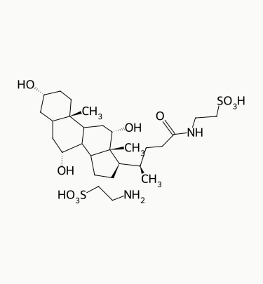 C[C@H](CCC(=O)NCCS(=O)(=O)O)[C@H]1CCC2C3C(C[C@H](O)[C@@]21C)[C@@]1(C)CC[C@@H](O)CC1C[C@H]3O.NCCS(=O)(=O)O